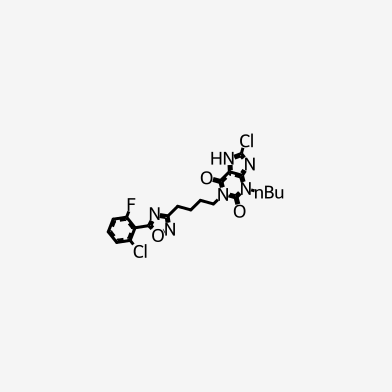 CCCCn1c(=O)n(CCCCc2noc(-c3c(F)cccc3Cl)n2)c(=O)c2[nH]c(Cl)nc21